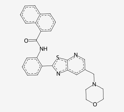 O=C(Nc1ccccc1-c1nc2cc(CN3CCOCC3)cnc2s1)c1cccc2ccccc12